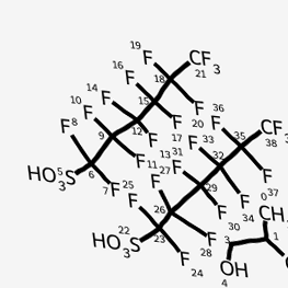 CC(O)CO.O=S(=O)(O)C(F)(F)C(F)(F)C(F)(F)C(F)(F)C(F)(F)C(F)(F)F.O=S(=O)(O)C(F)(F)C(F)(F)C(F)(F)C(F)(F)C(F)(F)C(F)(F)F